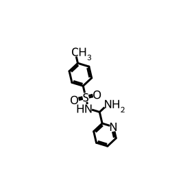 Cc1ccc(S(=O)(=O)NC(N)c2ccccn2)cc1